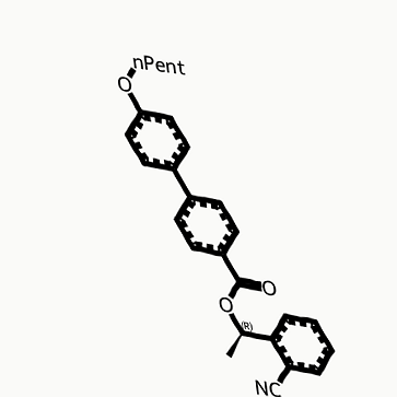 CCCCCOc1ccc(-c2ccc(C(=O)O[C@H](C)c3ccccc3C#N)cc2)cc1